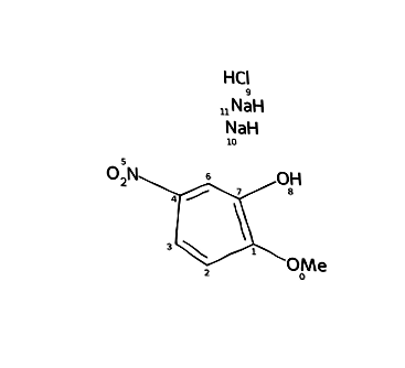 COc1ccc([N+](=O)[O-])cc1O.Cl.[NaH].[NaH]